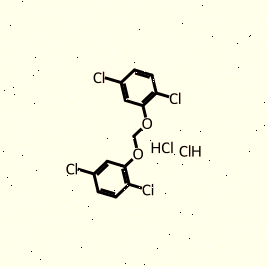 Cl.Cl.Clc1ccc(Cl)c(OCOc2cc(Cl)ccc2Cl)c1